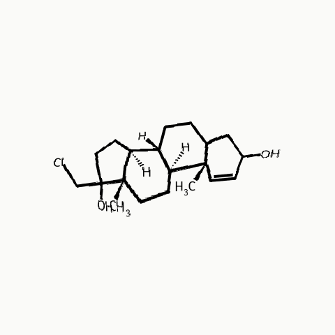 C[C@]12C=CC(O)CC1CC[C@@H]1[C@@H]2CC[C@@]2(C)[C@H]1CCC2(O)CCl